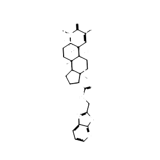 CN1C(=O)C(F)=C[C@]2(C)[C@H]3CC[C@]4(C)[C@@H](C(=O)NCc5nc6cccnc6[nH]5)CC[C@H]4[C@@H]3CC[C@@H]12